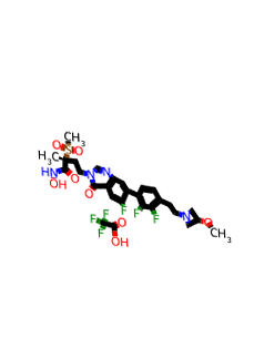 COC1CN(CCc2ccc(-c3cc4ncn(CC[C@](C)(C(=O)NO)S(C)(=O)=O)c(=O)c4cc3F)c(F)c2F)C1.O=C(O)C(F)(F)F